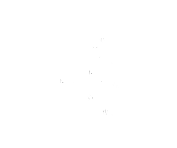 Cc1ncc(CC(C)C)cc1N(C(=O)OC(C)(C)C)C(=O)OC(C)(C)C